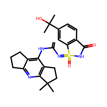 C=C(N=S1(=O)NC(=O)c2ccc(C(C)(C)O)cc21)Nc1c2c(nc3c1CCC3(C)C)CCC2